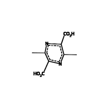 Cc1nc(C(=O)O)c(C)nc1C(=O)O